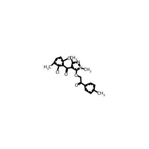 Cc1ccc(C(=O)COc2c(C(=O)c3c(Cl)ccc(C)c3Cl)c(C)nn2C)cc1